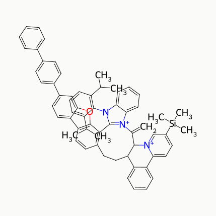 C=C1C2C(CCc3ccc4c(oc5cc(-c6ccc(-c7ccccc7)cc6)ccc54)c3-c3n(-c4c(C(C)C)cccc4C(C)C)c4ccccc4[n+]31)c1ccccc1-c1ccc([Si](C)(C)C)c[n+]12